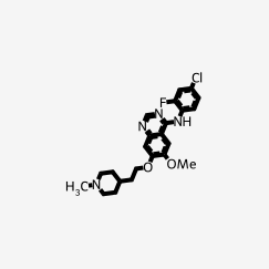 COc1cc2c(Nc3ccc(Cl)cc3F)ncnc2cc1OCCC1CCN(C)CC1